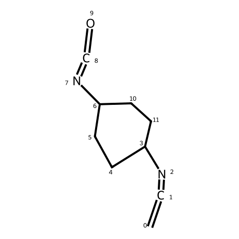 C=C=NC1CCC(N=C=O)CC1